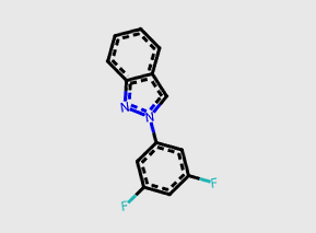 Fc1cc(F)cc(-n2cc3ccccc3n2)c1